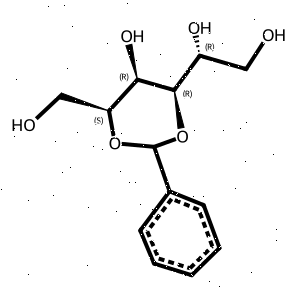 OC[C@@H](O)[C@H]1OC(c2ccccc2)O[C@@H](CO)[C@H]1O